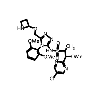 COc1cccc(OC)c1-n1c(COC2CCN2)nnc1NS(=O)(=O)C(C)C(OC)c1ncc(Cl)cn1